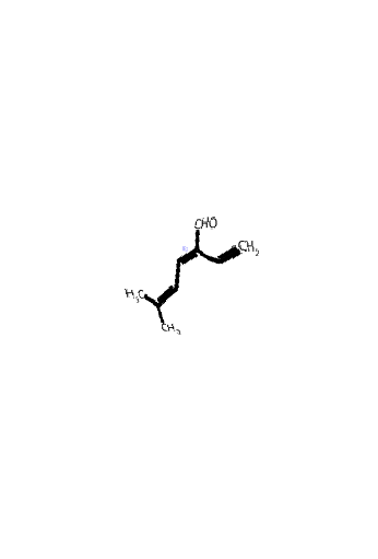 C=C/C(C=O)=C\C=C(C)C